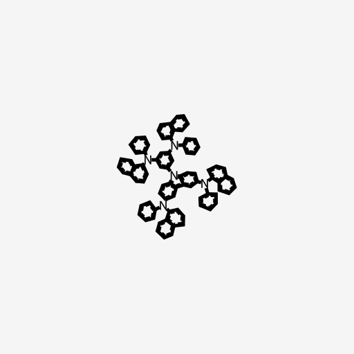 c1ccc(N(c2cc(N(c3ccccc3)c3cccc4ccccc34)cc(-n3c4ccc(N(c5ccccc5)c5cccc6ccccc56)cc4c4cc(N(c5ccccc5)c5cccc6ccccc56)ccc43)c2)c2cccc3ccccc23)cc1